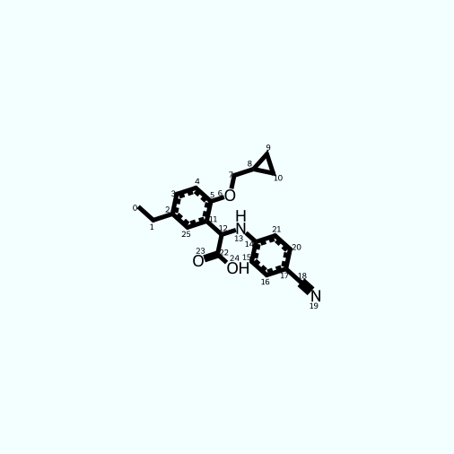 CCc1ccc(OCC2CC2)c(C(Nc2ccc(C#N)cc2)C(=O)O)c1